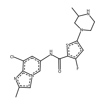 Cc1cn2cc(NC(=O)c3sc(N4CCNC(C)C4)cc3F)cc(Cl)c2n1